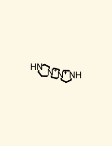 C1CNCC[N+]2(C1)CC[N+]1(CCCNCC1)CC2